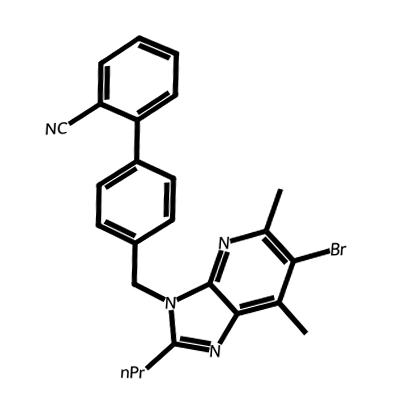 CCCc1nc2c(C)c(Br)c(C)nc2n1Cc1ccc(-c2ccccc2C#N)cc1